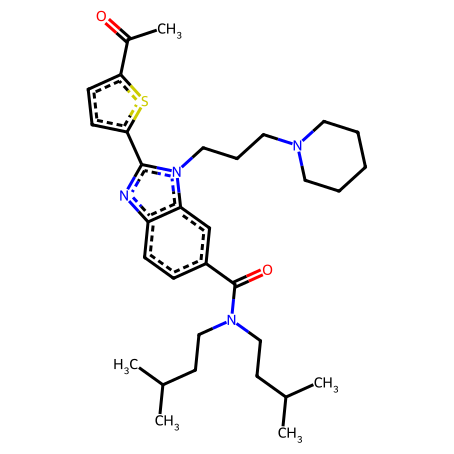 CC(=O)c1ccc(-c2nc3ccc(C(=O)N(CCC(C)C)CCC(C)C)cc3n2CCCN2CCCCC2)s1